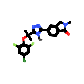 CC(C)n1c(-c2ccc3c(c2)CN(C)C3=O)nnc1C(C)(C)Oc1c(F)cc(Cl)cc1F